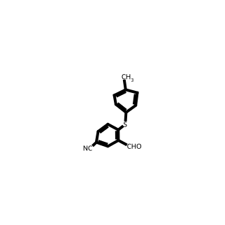 Cc1ccc(Sc2ccc(C#N)cc2C=O)cc1